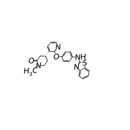 CN1CC[C@@H](c2cccnc2Oc2ccc(Nc3nc4ccccc4s3)cc2)CC1=O